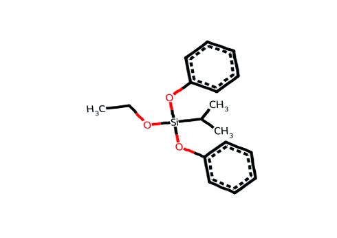 CCO[Si](Oc1ccccc1)(Oc1ccccc1)C(C)C